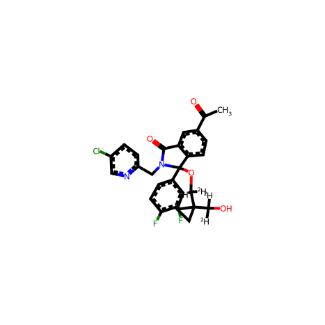 [2H]C([2H])(O)C1(C([2H])([2H])OC2(c3ccc(F)c(F)c3)c3ccc(C(C)=O)cc3C(=O)N2Cc2ccc(Cl)cn2)CC1